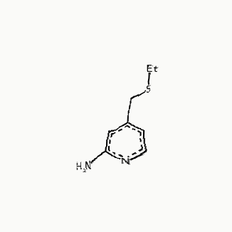 CCSCc1ccnc(N)c1